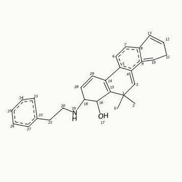 CC1(C)C=c2c(ccc3c2=CCC=C3)C2=C1C(O)C(NCCc1ccccc1)C=C2